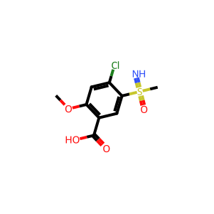 COc1cc(Cl)c(S(C)(=N)=O)cc1C(=O)O